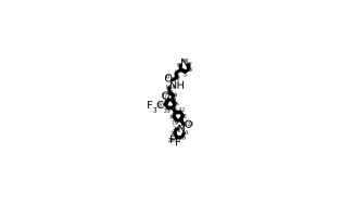 O=C(C=Cc1cccnc1)NCc1cc2cc(-c3ccc(C(=O)N4CCC(F)(F)CC4)cc3)cc(C(F)(F)F)c2o1